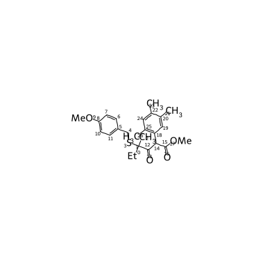 CCC(C)(SCc1ccc(OC)cc1)C(=O)C(C(=O)OC)c1cc(C)c(C)cc1C